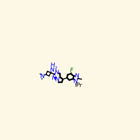 Cc1nc2c(F)cc(-c3ccn4nc(C5(N)CC(N(C)C)C5)ncc34)cc2n1C(C)C